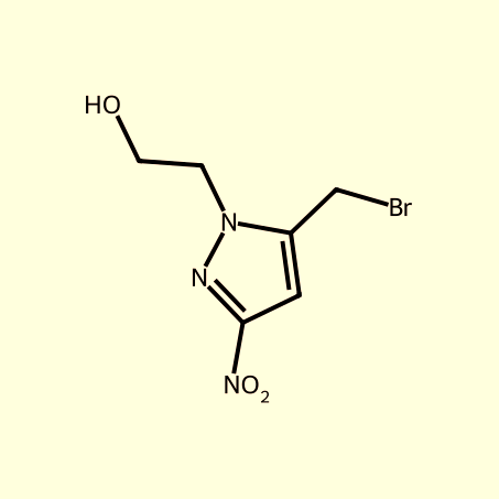 O=[N+]([O-])c1cc(CBr)n(CCO)n1